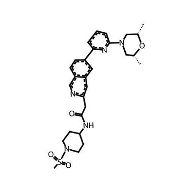 C[C@@H]1CN(c2cccc(-c3ccc4cnc(CC(=O)NC5CCN(S(C)(=O)=O)CC5)cc4c3)n2)C[C@H](C)O1